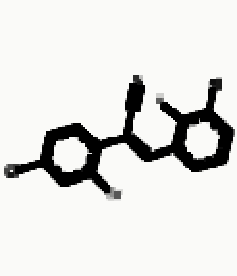 N#CC(=Cc1cccc(Cl)c1F)c1ccc(Cl)cc1Br